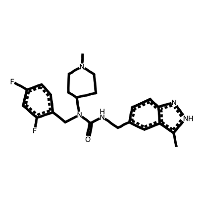 Cc1[nH]nc2ccc(CNC(=O)N(Cc3ccc(F)cc3F)C3CCN(C)CC3)cc12